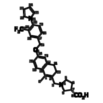 CC1=C(CN2CCC(C(=O)O)C2)CCc2cc(OCc3ccc(-n4cccc4)c(C(F)(F)F)c3)ccc21